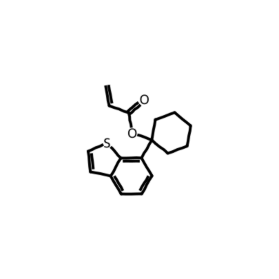 C=CC(=O)OC1(c2cccc3ccsc23)CCCCC1